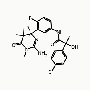 CN1C(=O)C(C)(C)[C@@](C)(c2cc(NC(=O)C(C)(O)c3ccc(Cl)cc3)ccc2F)N=C1N